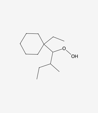 CCC(C)C(OO)C1(CC)CCCCC1